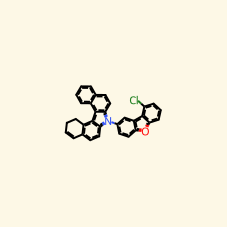 Clc1cccc2oc3ccc(-n4c5ccc6c(c5c5c7ccccc7ccc54)CCC=C6)cc3c12